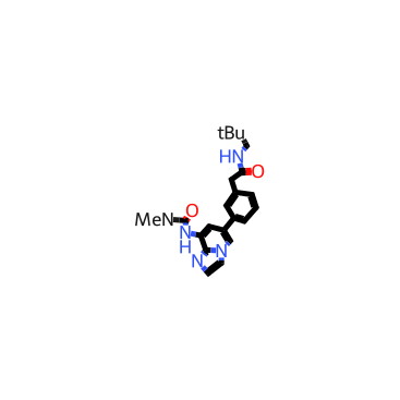 CNC(=O)Nc1cc(-c2cccc(CC(=O)NCC(C)(C)C)c2)cn2ccnc12